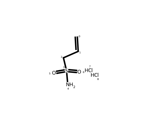 C=CCS(N)(=O)=O.Cl.Cl